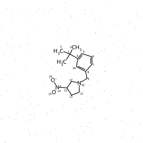 CC(C)(C)c1cccc(CN2CCC([N+](=O)[O-])C2)c1